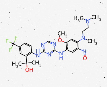 COc1cc(N(C)CCN(C)C)c(N=O)cc1Nc1ncnc(Nc2ccc(C(F)(F)F)cc2C(C)(C)O)n1